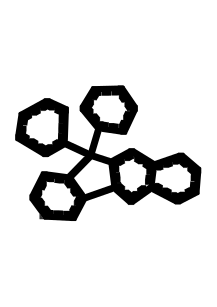 [c]1ccc2c(c1)-c1cc3ccccc3cc1C2(c1ccccc1)c1ccccc1